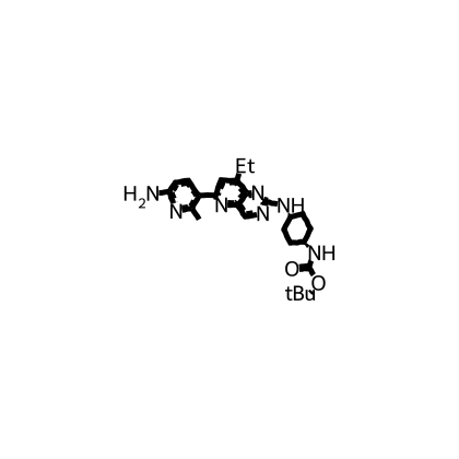 CCc1cc(-c2ccc(N)nc2C)nc2cnc(N[C@H]3CC[C@H](NC(=O)OC(C)(C)C)CC3)nc12